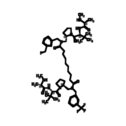 CN[C@@H](C)C(=O)N[C@H](C(=O)N1CCC[C@H]1CN(Cc1cccc(CF)c1)C(=O)CCCCCCCCC(=O)N(Cc1cccc(C(F)(F)F)c1)C[C@@H]1CCCN1C(=O)[C@@H](NC(=O)[C@H](C)NC)C(C)(C)C)C(C)(C)C